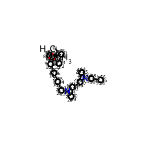 C/C=C\C1=C(C)C(c2cccc(-c3ccc(-c4ccc(-c5cccc(-n6c7ccccc7c7cc(-c8ccc9c(c8)c8ccccc8n9-c8ccc(-c9ccccc9)cc8)ccc76)c5)cc4)cc3)c2)(c2ccccc2-c2ccccc2-c2ccccc2)c2ccccc21